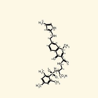 Cc1cc(C)c(S(=O)(=O)NC(CNC(=O)c2cn(C)c3cc(CNc4nc(C)c[nH]4)ccc3c2=O)C(=O)O)c(C)c1